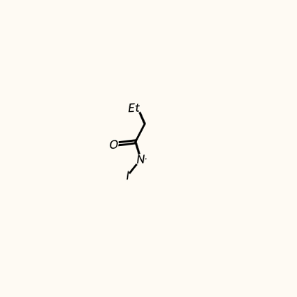 CCCC(=O)[N]I